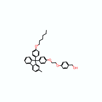 CCCCCCOc1ccc(C2(c3ccc(OCCOc4ccc(CO)cc4)cc3)c3ccccc3-c3ccc(C)cc32)cc1